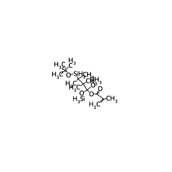 C=C(C)C(=O)OC(O[SiH3])(O[SiH3])C(C)(C)C(C)(C)[SiH2]O[Si](C)(C)C